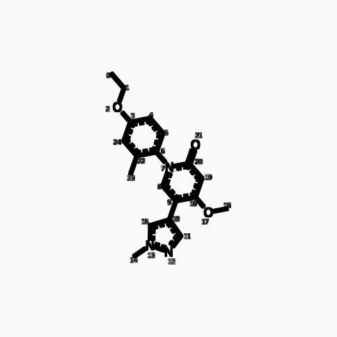 CCOc1ccc(-n2cc(-c3cnn(C)c3)c(OC)cc2=O)c(C)c1